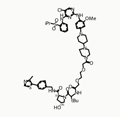 COc1cc(N2CCC(N3CCN(C(=O)COCCOCC(=O)NC(C(=O)N4C[C@H](O)C[C@H]4C(=O)NCc4ccc(-c5scnc5C)cc4)C(C)(C)C)CC3)CC2)ccc1Nc1ncc(Cl)c(Nc2ccccc2S(=O)(=O)C(C)C)n1